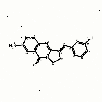 Nc1ccc2nc3n(c(=O)c2c1)CCC3=Cc1cccc(Cl)c1